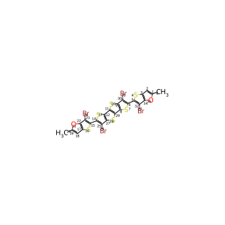 Cc1cc2sc(-c3sc4c(sc5c6sc(-c7sc8cc(C)oc8c7Br)c(Br)c6sc45)c3Br)c(Br)c2o1